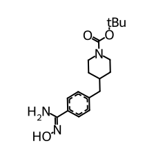 CC(C)(C)OC(=O)N1CCC(Cc2ccc(/C(N)=N/O)cc2)CC1